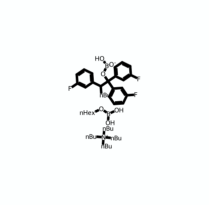 CCCCC(c1cccc(F)c1)C(OB([O-])O)(c1cccc(F)c1)c1cccc(F)c1.CCCCCCOB(O)O.CCCC[N+](CCCC)(CCCC)CCCC